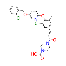 Cc1cc(C=CC(=O)N2CCN(C(=O)O)CC2)cc(Cl)c1Oc1ccc(OCc2ccccc2Cl)cn1